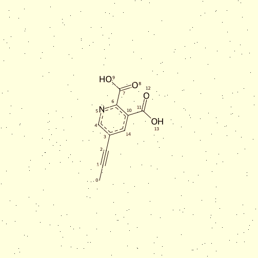 CC#Cc1cnc(C(=O)O)c(C(=O)O)c1